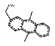 CNCc1ccc2c(C)c3ccccc3c(C)c2c1